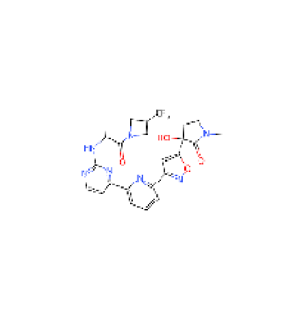 CC(Nc1nccc(-c2cccc(-c3cc(C4(O)CCN(C)C4=O)on3)n2)n1)C(=O)N1CC(C(F)(F)F)C1